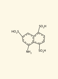 Nc1cc(S(=O)(=O)O)cc2c(S(=O)(=O)O)ccc(S(=O)(=O)O)c12